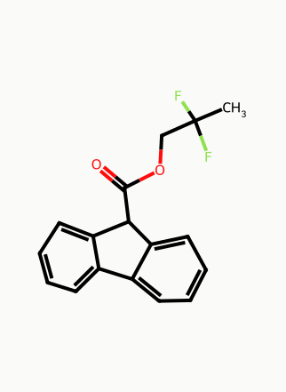 CC(F)(F)COC(=O)C1c2ccccc2-c2ccccc21